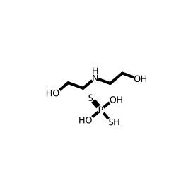 OCCNCCO.OP(O)(=S)S